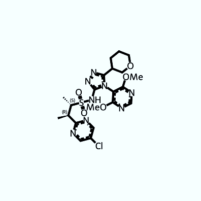 COc1ncnc(OC)c1-n1c(NS(=O)(=O)[C@@H](C)[C@H](C)c2ncc(Cl)cn2)nnc1C1CCCOC1